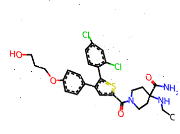 NC(=O)C1(NCC(F)(F)F)CCN(C(=O)c2cc(-c3ccc(OCCCO)cc3)c(-c3ccc(Cl)cc3Cl)s2)CC1